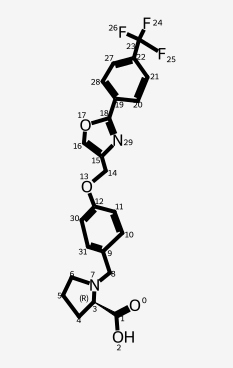 O=C(O)[C@H]1CCCN1Cc1ccc(OCc2coc(-c3ccc(C(F)(F)F)cc3)n2)cc1